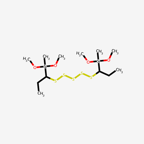 CCC(SSSSSC(CC)[Si](C)(OC)OC)[Si](C)(OC)OC